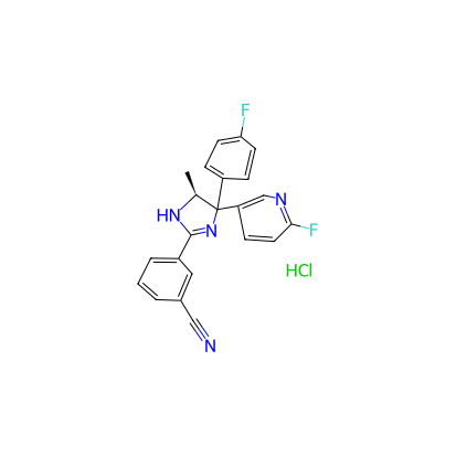 C[C@@H]1NC(c2cccc(C#N)c2)=NC1(c1ccc(F)cc1)c1ccc(F)nc1.Cl